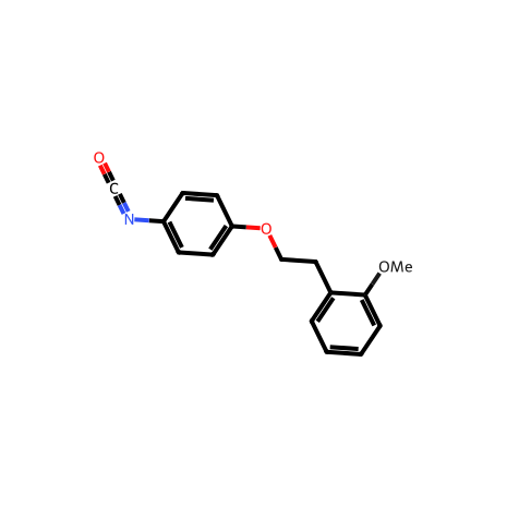 COc1ccccc1CCOc1ccc(N=C=O)cc1